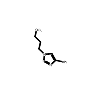 CCCc1cn(CCCOCC(C)C)nn1